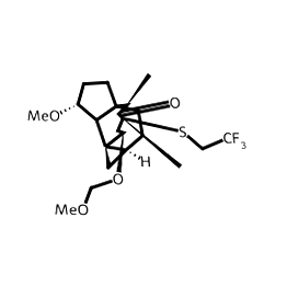 COCO[C@@H]1C[C@@](C)(SCC(F)(F)F)C(=O)[C@H](C)C23CC[C@H]4C[C@]41C2[C@H](OC)CC3